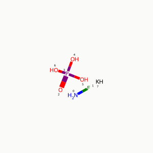 NF.O=P(O)(O)O.[KH]